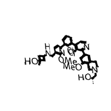 COc1cc(-c2nccc(-c3cccc(-c4ccc(CNC5CC(C)(O)C5)c(OC)n4)c3Cl)c2Cl)cc2c1CN(C[C@H](C)O)CC2